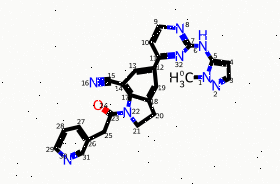 Cn1nccc1Nc1nccc(-c2cc(C#N)c3c(c2)CCN3C(=O)Cc2cccnc2)n1